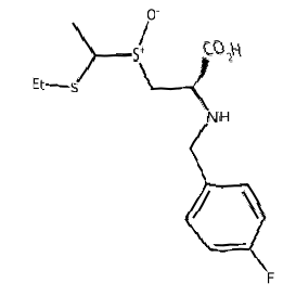 CCSC(C)[S+]([O-])C[C@H](NCc1ccc(F)cc1)C(=O)O